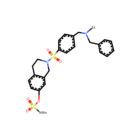 CCN(Cc1ccccc1)Cc1ccc(S(=O)(=O)N2CCc3ccc(OS(=O)(=O)NC)cc3C2)cc1